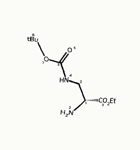 CCOC(=O)[C@H](N)CNC(=O)OC(C)(C)C